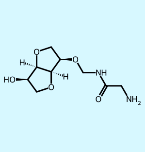 NCC(=O)NCO[C@@H]1CO[C@H]2[C@@H]1OC[C@H]2O